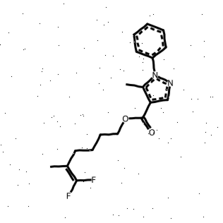 CC(CCCCOC(=O)c1cnn(-c2ccccc2)c1C)=C(F)F